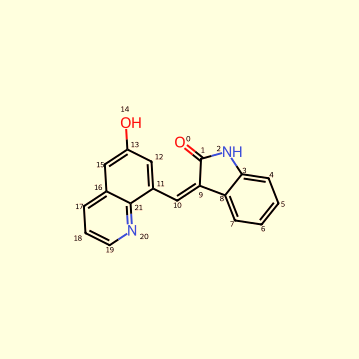 O=C1Nc2ccccc2C1=Cc1cc(O)cc2cccnc12